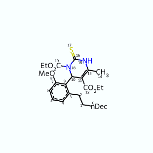 CCCCCCCCCCCCc1cccc(OC)c1C1C(C(=O)OCC)=C(C)NC(=S)N1C(=O)OCC